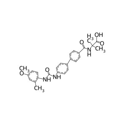 COc1ccc(NC(=O)Nc2ccc(-c3ccc(C(=O)NC(C)(C)C(=O)O)cc3)cc2)c(C)c1